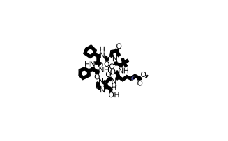 COC(=O)/C=C/CCC(NC(=O)c1nccnc1C(=O)O)C(=O)NC(C(=O)N1CC(=O)C[C@H]1C(=O)NC(C(=O)NC(C(N)=O)C1CCCCC1)C1CCCCC1)C(C)(C)C